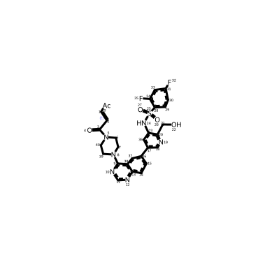 CC(=O)/C=C/C(=O)N1CCN(c2ncnc3ccc(-c4cnc(CO)c(NS(=O)(=O)c5ccc(F)cc5F)c4)cc23)CC1